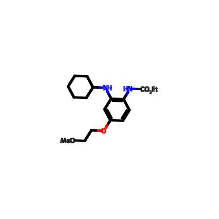 CCOC(=O)Nc1ccc(OCCOC)cc1NC1CCCCC1